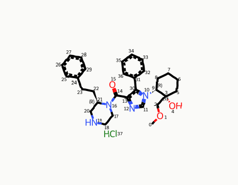 COC[C@]1(O)CCCC[C@H]1n1cnc(C(=O)N2CCNC[C@H]2CCc2ccccc2)c1-c1ccccc1.Cl